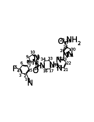 N#Cc1cc(F)cc([C@@H]2CC=NN2C(=O)N2CCN(c3nccc(-n4cc(C(N)=O)cn4)n3)CC2)c1